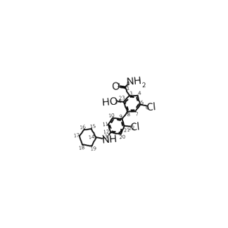 NC(=O)c1cc(Cl)cc(-c2ccc(NC3CCCCC3)cc2Cl)c1O